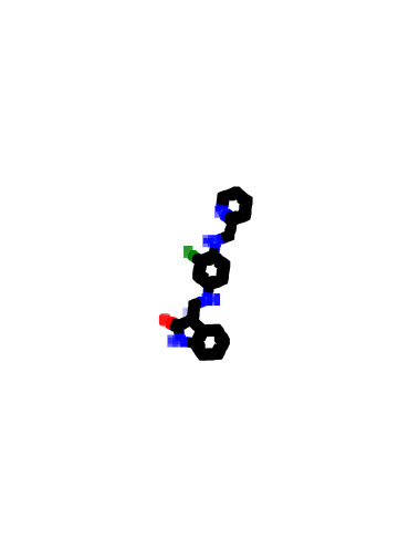 O=C1Nc2ccccc2/C1=C\Nc1ccc(NCc2ccccn2)c(F)c1